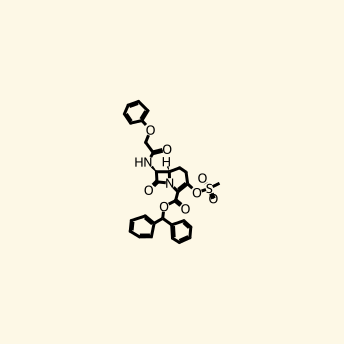 CS(=O)(=O)OC1=C(C(=O)OC(c2ccccc2)c2ccccc2)N2C(=O)[C@@H](NC(=O)COc3ccccc3)[C@H]2CC1